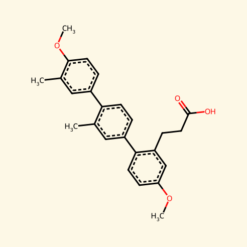 COc1ccc(-c2ccc(-c3ccc(OC)c(C)c3)c(C)c2)c(CCC(=O)O)c1